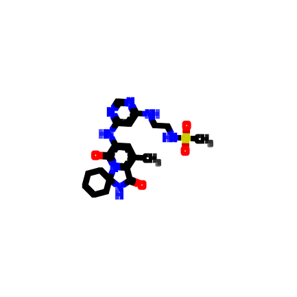 Cc1cc(Nc2cc(NCCNS(C)(=O)=O)ncn2)c(=O)n2c1C(=O)NC21CCCCC1